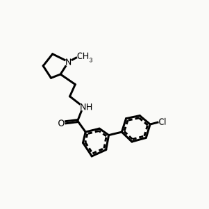 CN1CCCC1CCNC(=O)c1cccc(-c2ccc(Cl)cc2)c1